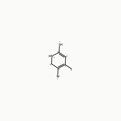 CC1=C(Br)CNC(S)=C1